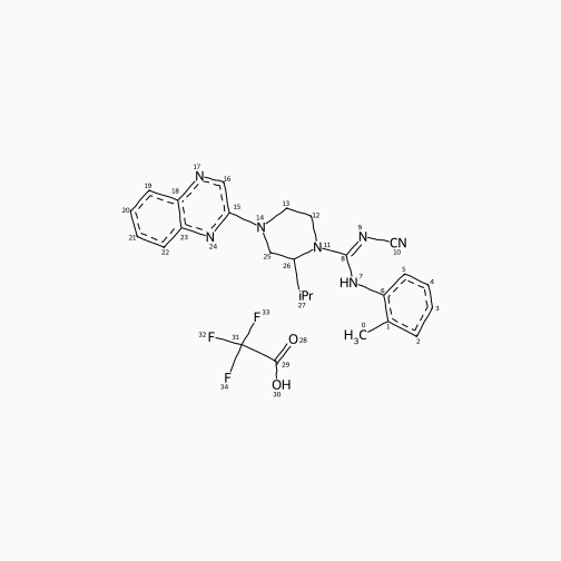 Cc1ccccc1N/C(=N\C#N)N1CCN(c2cnc3ccccc3n2)CC1C(C)C.O=C(O)C(F)(F)F